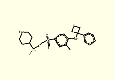 Cc1cc(S(=O)(=O)CC[C@H](C)C2CCNCC2)ccc1NC1(c2ccccc2)COC1